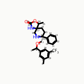 Cc1cc(C(C)OC[C@@]2(c3ccccc3)CCC3(CN2)NC(=O)OC3C)cc(C(F)(F)F)c1